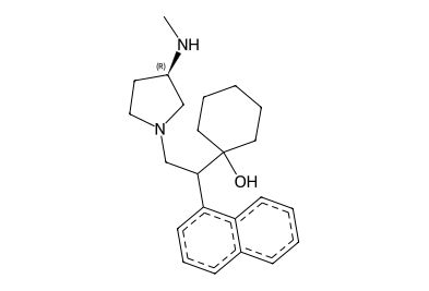 CN[C@@H]1CCN(CC(c2cccc3ccccc23)C2(O)CCCCC2)C1